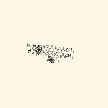 CCCCCCCCCCCCCC[S+]=C(N)N.CCCCCCCCCCCCCC[S+]=C(N)N.CP(=O)([O-])[O-]